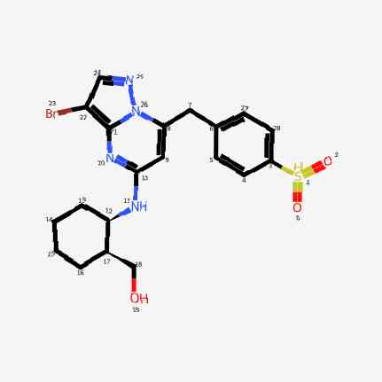 O=[SH](=O)c1ccc(Cc2cc(N[C@@H]3CCCC[C@@H]3CO)nc3c(Br)cnn23)cc1